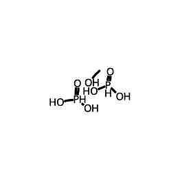 CO.O=[PH](O)O.O=[PH](O)O